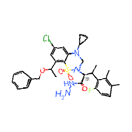 Cc1ccc(F)c(C(C)[C@@H](C(=O)NN)N2CN(C3CC3)c3cc(Cl)cc(C(C)OCc4ccccc4)c3S2(=O)=O)c1C